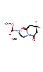 CC1(C)CC(=O)N(C[C@@H](NC(=O)OC(C)(C)C)C(C)(C)C)C(=O)C1